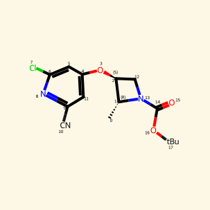 C[C@@H]1[C@@H](Oc2cc(Cl)nc(C#N)c2)CN1C(=O)OC(C)(C)C